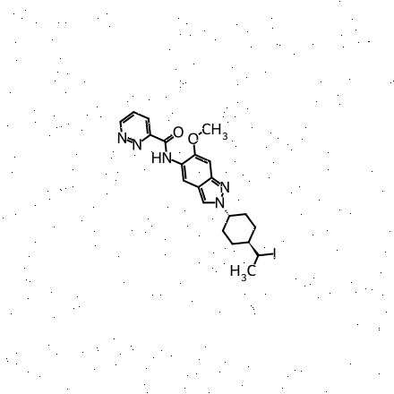 COc1cc2nn([C@H]3CC[C@H](C(C)I)CC3)cc2cc1NC(=O)c1cccnn1